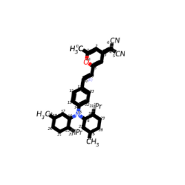 CC1=CC(=C(C#N)C#N)C=C(/C=C/c2ccc(N(C3CC(C)CCC3C(C)C)C3CC(C)CCC3C(C)C)cc2)O1